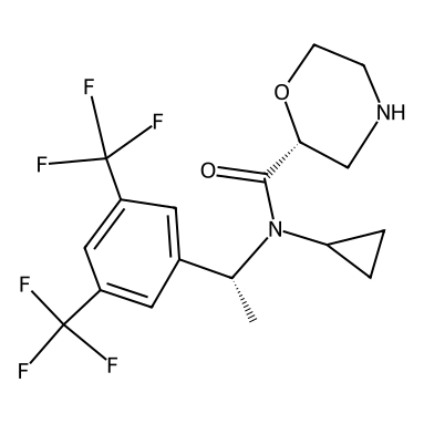 C[C@H](c1cc(C(F)(F)F)cc(C(F)(F)F)c1)N(C(=O)[C@H]1CNCCO1)C1CC1